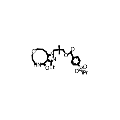 CCc1nn(CC(C)(C)COC(=O)c2ccc(S(=O)(=O)C(C)C)cc2)c2c1C(=O)NCCCOCCC2